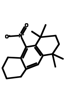 CC1(C)CCC(C)(C)c2c1cc1c(c2[N+](=O)[O-])CCCC1